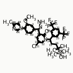 COc1cc(/C(=N\N)c2cc(Cl)cn(C(CCC(C)(C)[Si](C)(C)O)c3cc(C(F)(F)F)cc(C(F)(F)F)c3)c2=O)ccc1-n1cnc(C)c1